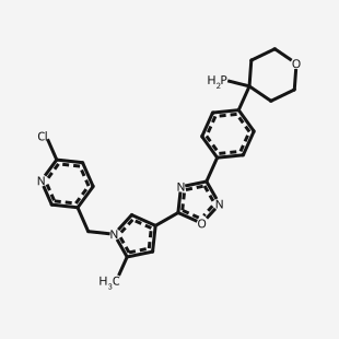 Cc1cc(-c2nc(-c3ccc(C4(P)CCOCC4)cc3)no2)cn1Cc1ccc(Cl)nc1